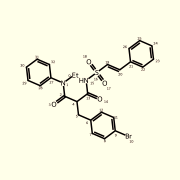 CCN(C(=O)C(Cc1ccc(Br)cc1)C(=O)NS(=O)(=O)C=Cc1ccccc1)c1ccccc1